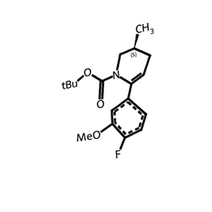 COc1cc(C2=CC[C@H](C)CN2C(=O)OC(C)(C)C)ccc1F